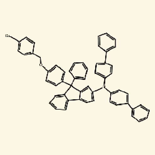 CCC(C)c1ccc(COc2ccc(C3(c4ccccc4)c4ccccc4-c4ccc(N(c5ccc(-c6ccccc6)cc5)c5ccc(-c6ccccc6)cc5)cc43)cc2)cc1